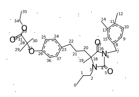 CCCN1C(=O)N(Cc2ccc(C)c(C)c2)C(=O)C1(C)CCCc1ccc(OC(C)(C)C(=O)OCC)cc1